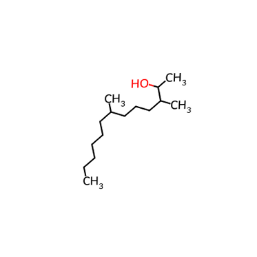 CCCCCCC(C)CCCC(C)C(C)O